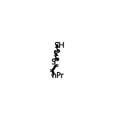 CCCCCSSSSS